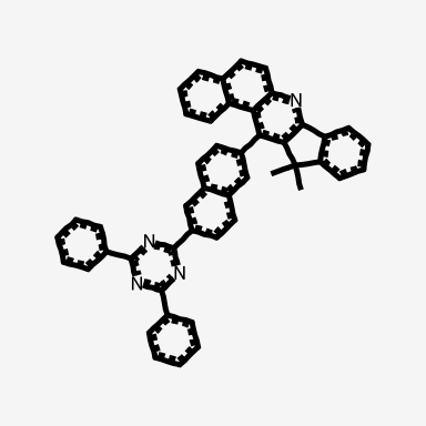 CC1(C)c2ccccc2-c2nc3ccc4ccccc4c3c(-c3ccc4cc(-c5nc(-c6ccccc6)nc(-c6ccccc6)n5)ccc4c3)c21